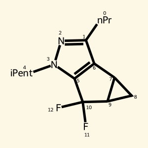 CCCc1nn(C(C)CCC)c2c1C1CC1C2(F)F